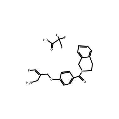 NC/C(=C\F)COc1ccc(C(=O)N2CCc3ccccc3C2)cc1.O=C(O)C(F)(F)F